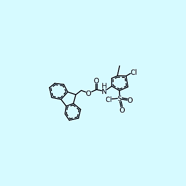 Cc1cc(NC(=O)OCC2c3ccccc3-c3ccccc32)c(S(=O)(=O)Cl)cc1Cl